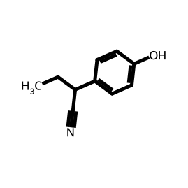 CCC(C#N)c1ccc(O)cc1